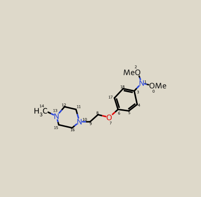 CON(OC)c1ccc(OCCN2CCN(C)CC2)cc1